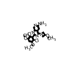 COc1cc(OC)c(Cl)c(-c2nc(N3CC(OC)C3)c3cc(N)ncc3n2)c1Cl